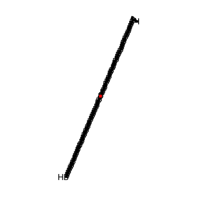 B=BB=BB=BB=BB=BB=BB=BB=BB=BB=BB=BB=BB=BB=BB=BB=BB=BB=BB=BB=BB=BB=BB=BB=BB=BB=BB=BB=BB=BB=BB=BB=BB=BB=BB=BB=BB=BB=BB(CC)CCI